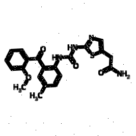 COc1ccccc1C(=O)c1cc(C)ccc1NC(=O)Nc1ncc(CC(N)=O)s1